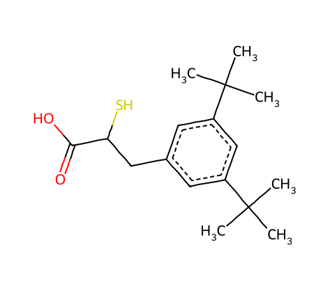 CC(C)(C)c1cc(CC(S)C(=O)O)cc(C(C)(C)C)c1